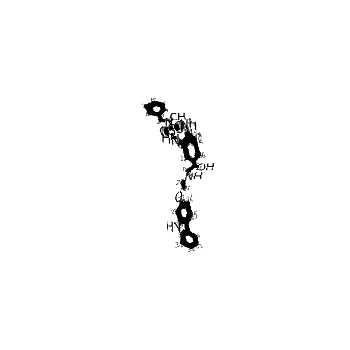 CN(Cc1ccccc1)S(=O)(=O)Nc1cc(C(O)CNCCOc2ccc3c(c2)[nH]c2ccccc23)ccc1N